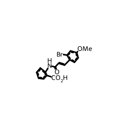 COc1ccc(C=CC(=O)Nc2ccccc2C(=O)O)c(Br)c1